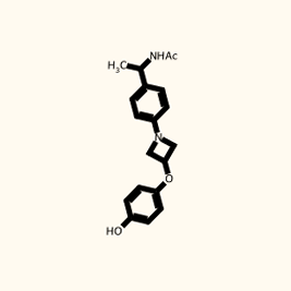 CC(=O)NC(C)c1ccc(N2CC(Oc3ccc(O)cc3)C2)cc1